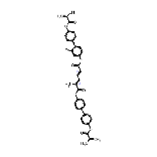 C=C(C)C(=O)Oc1ccc(-c2ccc(OC(=O)/C(C)=C/C=C/C(=O)Oc3ccc(-c4ccc(OC(=O)C(=C)C)cc4)c(F)c3)cc2)cc1